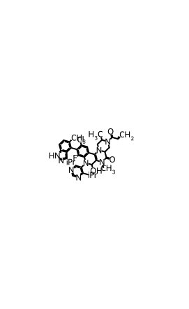 C=CC(=O)N1CC2C(=O)N(C)C3=C(c4cc(Cl)c(-c5c(C)ccc6[nH]ncc56)c(F)c4N(c4c(C(C)C)ncnc4C(C)C)C3O)N2CC1C